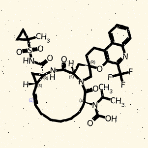 CC(C)N(C(=O)O)[C@H]1CCCCC/C=C\[C@@H]2C[C@@]2(C(=O)NS(=O)(=O)C2(C)CC2)NC(=O)[C@@H]2C[C@]3(CCc4c(c(C(F)(F)F)nc5ccccc45)O3)CN2C1=O